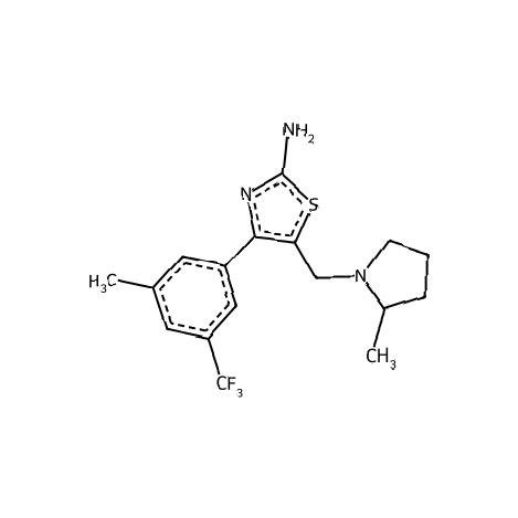 Cc1cc(-c2nc(N)sc2CN2CCCC2C)cc(C(F)(F)F)c1